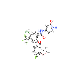 O=C(Nc1cc[nH]c(=O)c1)c1cc(Cl)c(C(F)(F)F)cc1Oc1ccc(F)c2c1CCO2